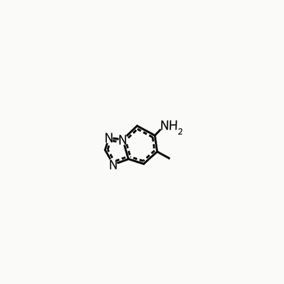 Cc1cc2ncnn2cc1N